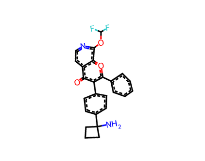 NC1(c2ccc(-c3c(-c4ccccc4)oc4c(OC(F)F)nccc4c3=O)cc2)CCC1